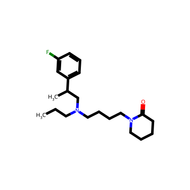 CCCN(CCCCN1CCCCC1=O)CC(C)c1cccc(F)c1